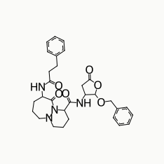 O=C(CCc1ccccc1)NC1CCCN2CCCC(C(=O)NC3CC(=O)OC3OCc3ccccc3)N2C1=O